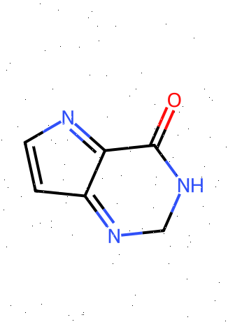 O=C1NCN=C2C=CN=C12